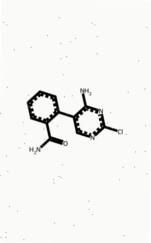 NC(=O)c1ccccc1-c1cnc(Cl)nc1N